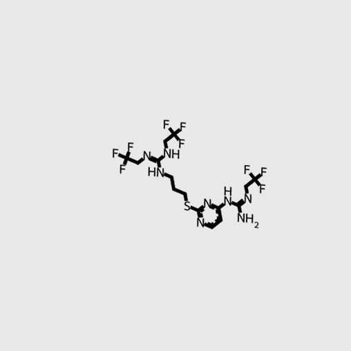 N/C(=N/CC(F)(F)F)Nc1ccnc(SCCCN/C(=N\CC(F)(F)F)NCC(F)(F)F)n1